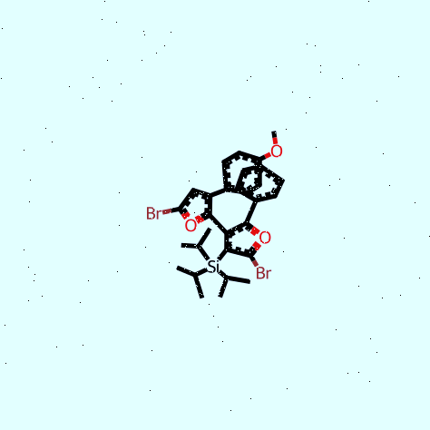 COc1ccc(-c2cc(Br)oc2-c2c(-c3ccccc3)oc(Br)c2[Si](C(C)C)(C(C)C)C(C)C)cc1